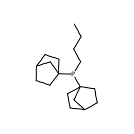 CCCCP(C12CCC(CC1)C2)C12CCC(CC1)C2